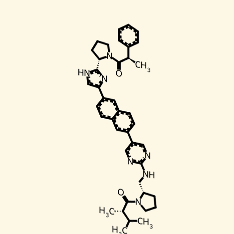 CC(C)[C@H](C)C(=O)N1CCC[C@H]1CNc1ncc(-c2ccc3cc(-c4c[nH]c([C@@H]5CCCN5C(=O)[C@H](C)c5ccccc5)n4)ccc3c2)cn1